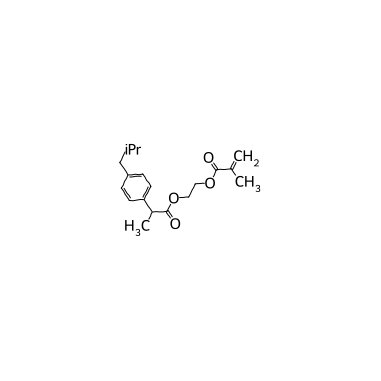 C=C(C)C(=O)OCCOC(=O)C(C)c1ccc(CC(C)C)cc1